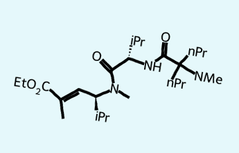 CCCC(CCC)(NC)C(=O)N[C@H](C(=O)N(C)[C@H](/C=C(\C)C(=O)OCC)C(C)C)C(C)C